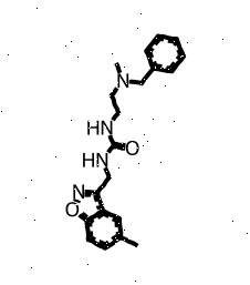 Cc1ccc2onc(CNC(=O)NCCN(C)Cc3ccccc3)c2c1